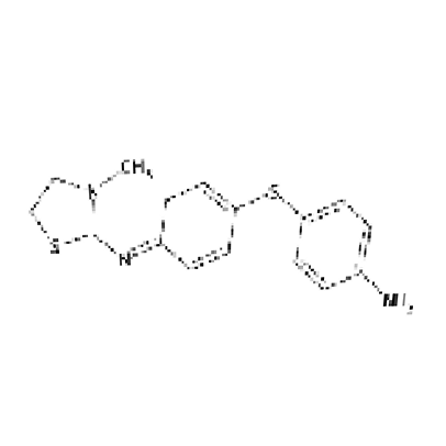 CN1CCSC1N=C1C=CC(Sc2ccc(N)cc2)=CC1